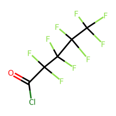 O=C(Cl)C(F)(F)C(F)(F)C(F)(F)C(F)(F)F